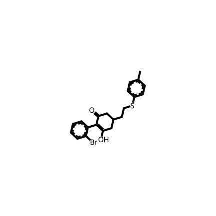 Cc1ccc(SCCC2CC(=O)C(c3ccccc3Br)=C(O)C2)cc1